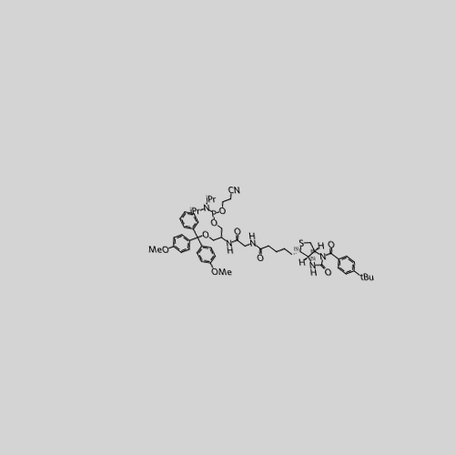 COc1ccc(C(OCC(COP(OCCC#N)N(C(C)C)C(C)C)NC(=O)CNC(=O)CCCC[C@@H]2SC[C@H]3[C@@H]2NC(=O)N3C(=O)c2ccc(C(C)(C)C)cc2)(c2ccccc2)c2ccc(OC)cc2)cc1